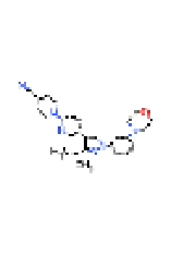 CC(C)c1nn(-c2cccc(N3CCOCC3)c2)cc1-c1ccc(N2CCC(C#N)CC2)nc1